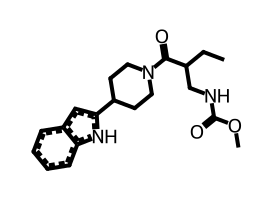 CCC(CNC(=O)OC)C(=O)N1CCC(c2cc3ccccc3[nH]2)CC1